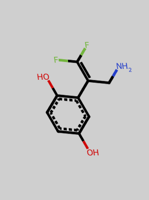 NCC(=C(F)F)c1cc(O)ccc1O